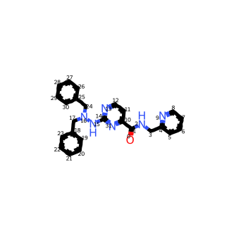 O=C(NCc1ccccn1)c1ccnc(NN(Cc2ccccc2)Cc2ccccc2)n1